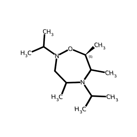 CC(C)N1CC(C)N(C(C)C)C(C)[C@H](C)O1